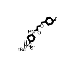 CC(C)(C)N[S+]([O-])c1ccc(NC(=O)COCc2ccc(F)cc2)cc1